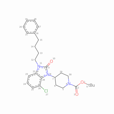 CC(C)(C)OC(=O)N1CCC(n2c(=O)n(CCCCc3ccccc3)c3cccc(Cl)c32)CC1